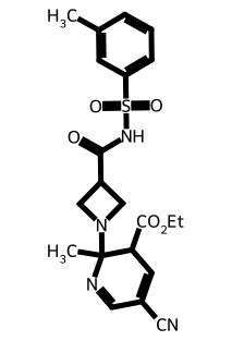 CCOC(=O)C1C=C(C#N)C=NC1(C)N1CC(C(=O)NS(=O)(=O)c2cccc(C)c2)C1